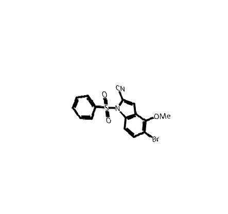 COc1c(Br)ccc2c1cc(C#N)n2S(=O)(=O)c1ccccc1